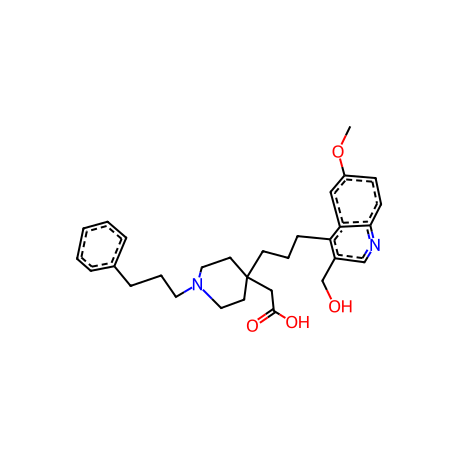 COc1ccc2ncc(CO)c(CCCC3(CC(=O)O)CCN(CCCc4ccccc4)CC3)c2c1